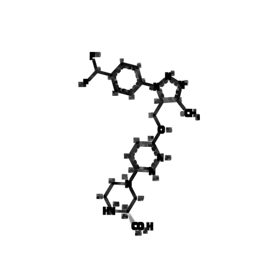 Cc1nnn(-c2ccc(C(F)F)cc2)c1COc1ccc(N2CCN[C@@H](C(=O)O)C2)nn1